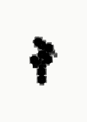 C=C1c2cccc(C3=NC(c4ccccc4)NC(C4=CCC(c5ccccc5)C=C4)=N3)c2-c2cccc(-n3c4ccccc4c4cc5ccccc5cc43)c21